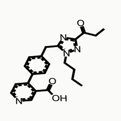 CCCCn1nc(C(=O)CC)nc1Cc1ccc(-c2ccncc2C(=O)O)cc1